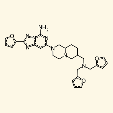 Nc1nc(N2CCN3CC(CN(Cc4ccco4)Cc4ccco4)CCC3C2)cc2nc(-c3ccco3)nn12